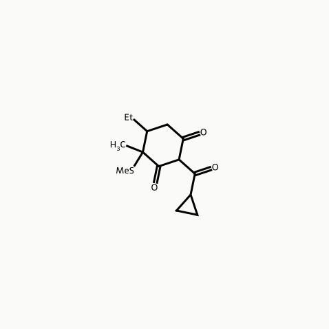 CCC1CC(=O)C(C(=O)C2CC2)C(=O)C1(C)SC